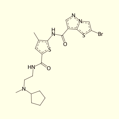 Cc1cc(C(=O)NCCN(C)C2CCCC2)sc1NC(=O)c1cnn2cc(Br)sc12